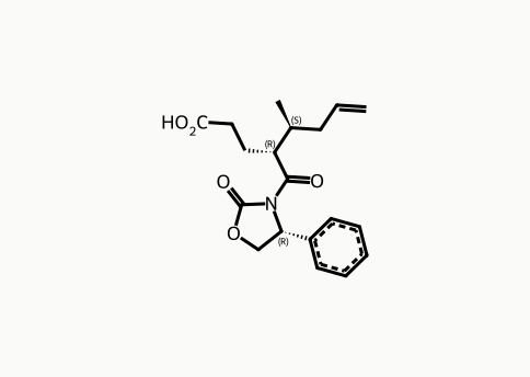 C=CC[C@H](C)[C@@H](CCC(=O)O)C(=O)N1C(=O)OC[C@H]1c1ccccc1